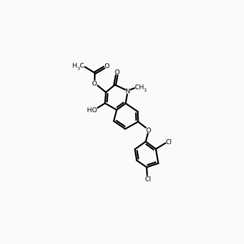 CC(=O)Oc1c(O)c2ccc(Oc3ccc(Cl)cc3Cl)cc2n(C)c1=O